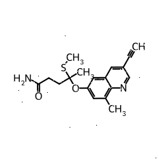 C#Cc1cnc2c(C)cc(OC(C)(CCC(N)=O)SC)cc2c1